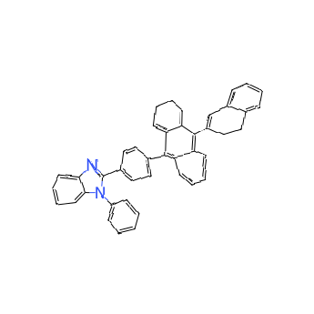 C1=C(c2c3c(c(-c4ccc(-c5nc6ccccc6n5-c5ccccc5)cc4)c4ccccc24)=CCCC=3)CCc2ccccc21